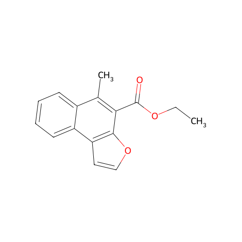 CCOC(=O)c1c(C)c2ccccc2c2ccoc12